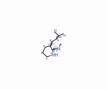 C/N=C1/NCCC/C1=C/C=C(C)C